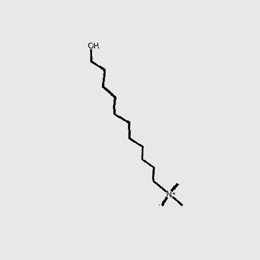 [CH2][N+](C)(C)CCCCCCCCCCCO